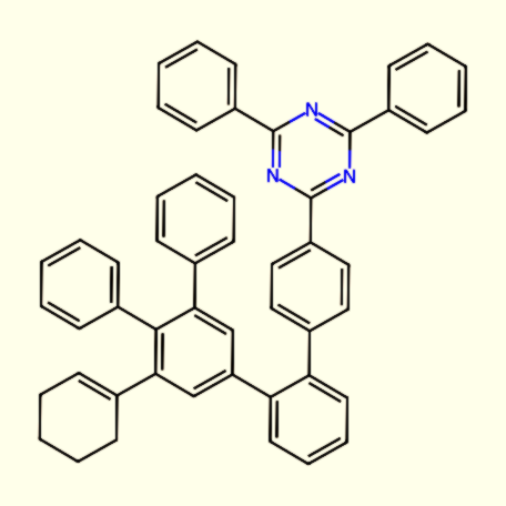 C1=C(c2cc(-c3ccccc3-c3ccc(-c4nc(-c5ccccc5)nc(-c5ccccc5)n4)cc3)cc(-c3ccccc3)c2-c2ccccc2)CCCC1